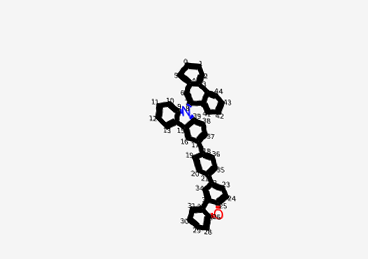 c1ccc2c(c1)cc(-n1c3ccccc3c3cc(-c4ccc(-c5ccc6oc7ccccc7c6c5)cc4)ccc31)c1ccccc12